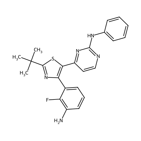 CC(C)(C)c1nc(-c2cccc(N)c2F)c(-c2ccnc(Nc3ccccc3)n2)s1